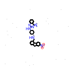 CN(C)c1nc(N[C@H]2CC[C@@H](CNCc3cccc4c3-c3ccc([N+](=O)[O-])cc3C4)CC2)nc2ccccc12